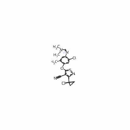 Cc1cc(/N=C\N(C)C)c(Cl)cc1Oc1snc(C2(Cl)CC2)c1C#N